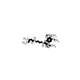 CCC(C)CC(=O)NCCCCNc1nc2c(OC)c(OC)c(OC)cc2n2c(C)nnc12